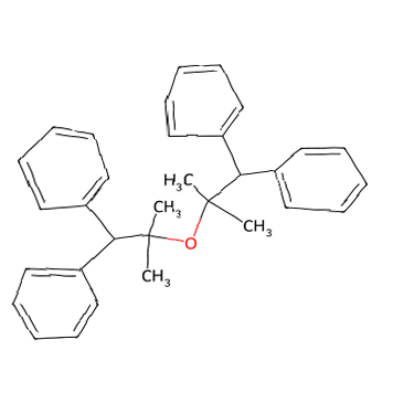 CC(C)(OC(C)(C)C(c1ccccc1)c1ccccc1)C(c1ccccc1)c1ccccc1